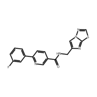 O=C(NCc1cn2ncsc2n1)c1ccc(-c2cccc(F)c2)nc1